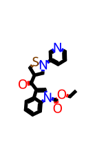 CCOC(=O)n1cc(C(=O)C2CSN(c3cccnc3)C2)c2ccccc21